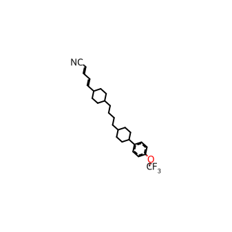 N#CC=CC=CC1CCC(CCCCC2CCC(c3ccc(OC(F)(F)F)cc3)CC2)CC1